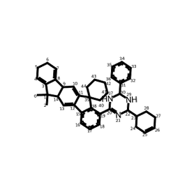 CC1(C)C2=CCCC=C2C2C=C3C(=CC21)c1cccc(C2=NC(C4CC=CCC4)NC(c4ccccc4)N2)c1C31CCCCC1